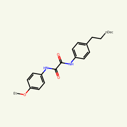 CCCCCCCCCCCCc1ccc(NC(=O)C(=O)Nc2ccc(OCC)cc2)cc1